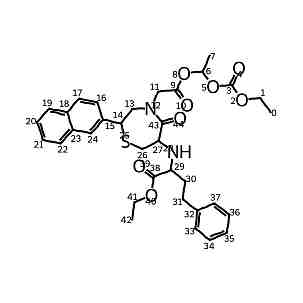 CCOC(=O)OC(C)OC(=O)CN1CC(c2ccc3ccccc3c2)SCC(NC(CCc2ccccc2)C(=O)OCC)C1=O